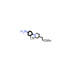 COCCC1CCN(c2ccc(N)cc2C#N)CC1